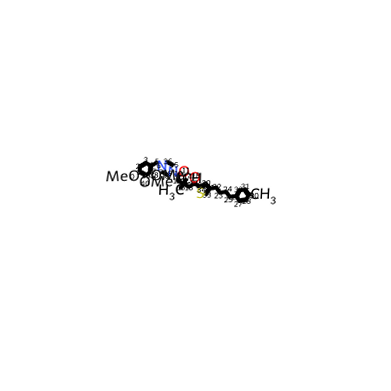 COc1ccc(CN2CCN(C(=O)CC(C)(C)CC(=O)c3cc(CCCCc4ccc(C)cc4)cs3)CC2)c(OC)c1OC